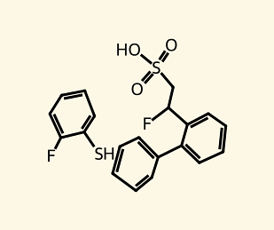 Fc1ccccc1S.O=S(=O)(O)CC(F)c1ccccc1-c1ccccc1